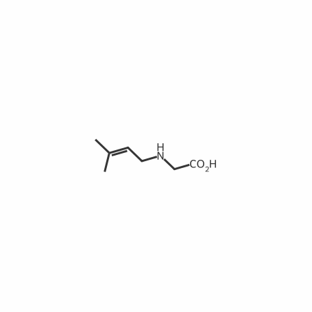 CC(C)=CCNCC(=O)O